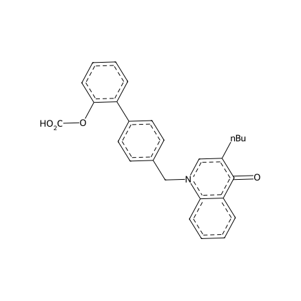 CCCCc1cn(Cc2ccc(-c3ccccc3OC(=O)O)cc2)c2ccccc2c1=O